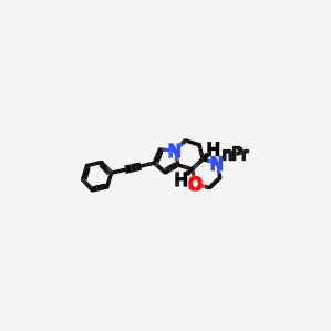 CCCN1CCO[C@@H]2c3cc(C#Cc4ccccc4)cn3CC[C@@H]21